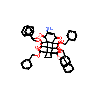 NC1=CC(=O)C2(C(=O)OCc3ccccc3)C(C(=O)OCc3ccccc3)(C1=O)C1(C(=O)OCc3ccccc3)C3(C(=O)OCc4ccccc4)CCC3(C(=O)OCc3ccccc3)C21C(=O)OCc1ccccc1